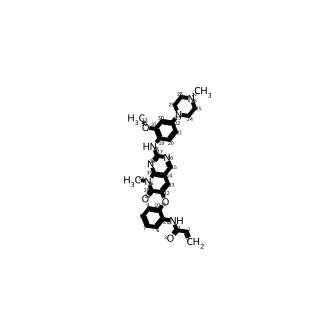 C=CC(=O)Nc1ccccc1Oc1cc2cnc(Nc3ccc(N4CCN(C)CC4)cc3OC)nc2n(C)c1=O